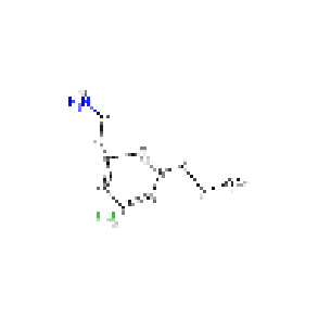 CC(=O)OCCc1cccc(CCN)c1.Cl